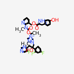 CC(OC(=O)N(C)c1ncccc1COC(=O)[C@@H](N)Cc1ccc(O)cc1)[n+]1cnn(C[C@](O)(c2ccc(F)cc2F)[C@@H](C)c2ncncc2F)c1